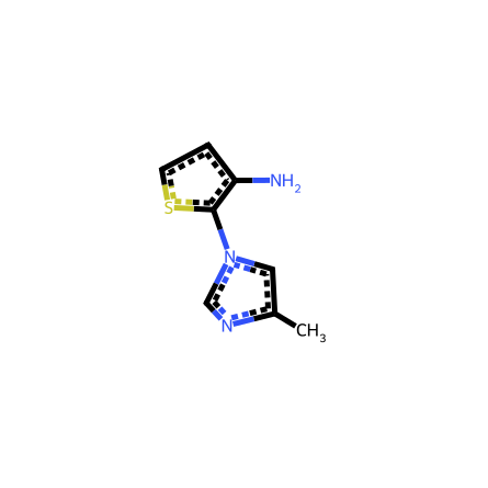 Cc1cn(-c2sccc2N)cn1